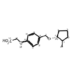 CC1CCC[C@H]1OCc1ccc(OCC(=O)O)cc1